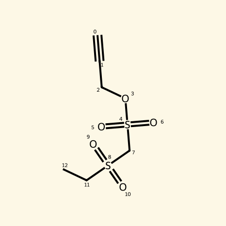 C#CCOS(=O)(=O)CS(=O)(=O)CC